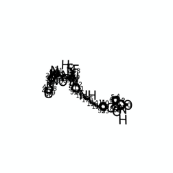 O=C1Cc2cccc(Oc3ccc(CCCCCNC[C@H]4CC[C@H](n5cc(NC(=O)c6cnn7ccc(N8CCOCC8)nc67)c(C(F)F)n5)CC4)cc3)c2C(=O)N1